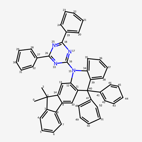 CC1(C)c2ccccc2-c2cc3c(cc21)N(c1nc(-c2ccccc2)nc(-c2ccccc2)n1)c1ccccc1C3(c1ccccc1)c1ccccc1